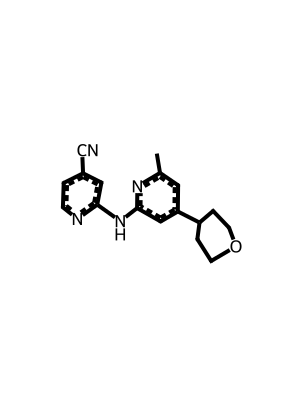 Cc1cc(C2CCOCC2)cc(Nc2cc(C#N)ccn2)n1